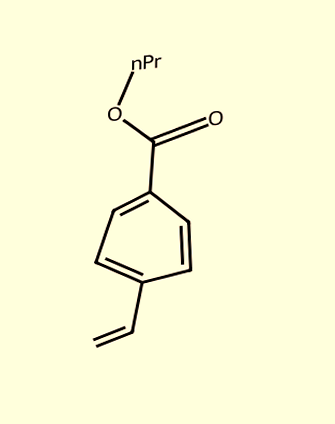 [CH2]CCOC(=O)c1ccc(C=C)cc1